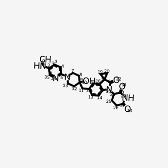 CNc1ccc(N2CCC(O)(Cc3ccc4c(c3)C3(CC3)C(=O)N4C3CCC(=O)NC3=O)CC2)nc1